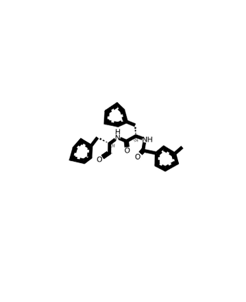 Cc1cccc(C(=O)N[C@@H](Cc2ccccc2)C(=O)N[C@H]([C]=O)Cc2ccccc2)c1